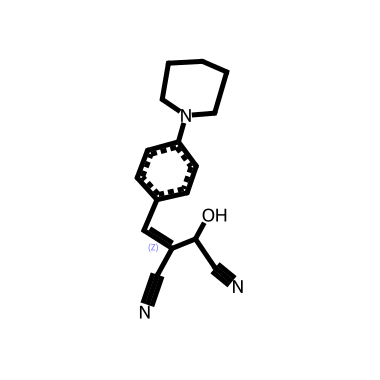 N#C/C(=C/c1ccc(N2CCCCC2)cc1)C(O)C#N